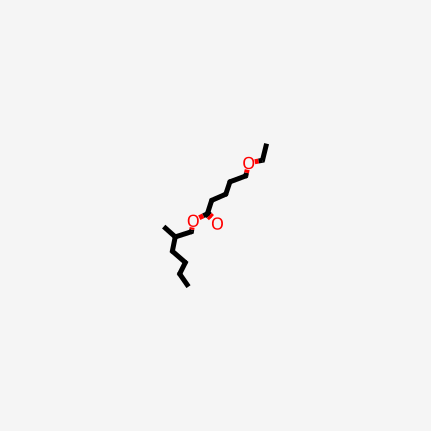 CCCCC(C)COC(=O)CCCCOCC